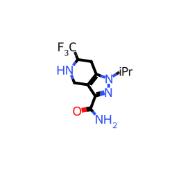 CC(C)n1nc(C(N)=O)c2c1CC(C(F)(F)F)NC2